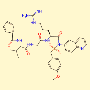 COc1ccc(CS(=O)(=O)N(C(=O)[C@H](CCCNC(=N)N)NC(=O)CNC(=O)[C@@H](NC(=O)c2ccccc2)C(C)C)c2ccc3ncccc3c2)cc1